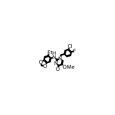 CCc1cc2c(cc1Nc1nc(=O)c(OC)cn1Cc1ccc(F)c(Cl)c1)OCO2